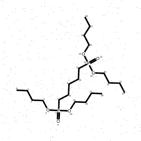 CCCCOP(=O)(CCCCCP(=O)(OCCCC)OCCCC)OCCCC